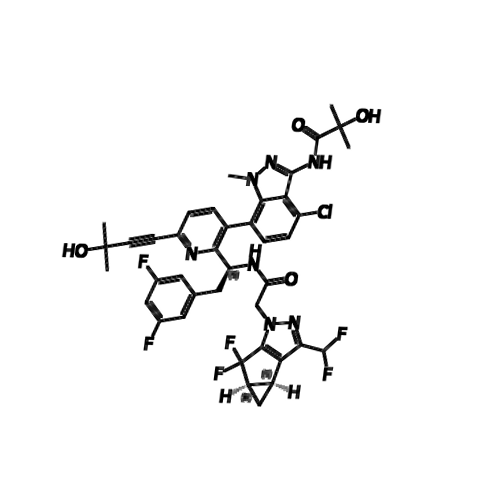 Cn1nc(NC(=O)C(C)(C)O)c2c(Cl)ccc(-c3ccc(C#CC(C)(C)O)nc3[C@H](Cc3cc(F)cc(F)c3)NC(=O)Cn3nc(C(F)F)c4c3C(F)(F)[C@@H]3C[C@H]43)c21